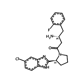 N[C@@H](CC(=O)N1CCC[C@H]1c1nc2cc(Cl)ccc2[nH]1)Cc1ccccc1F